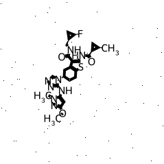 COc1cc(Nc2nncn2[C@H]2CCc3sc(NC(=O)[C@H]4C[C@@H]4C)c(C(=O)NC[C@H]4C[C@@H]4F)c3C2)n(C)n1